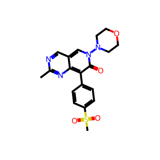 Cc1ncc2cn(N3CCOCC3)c(=O)c(-c3ccc(S(C)(=O)=O)cc3)c2n1